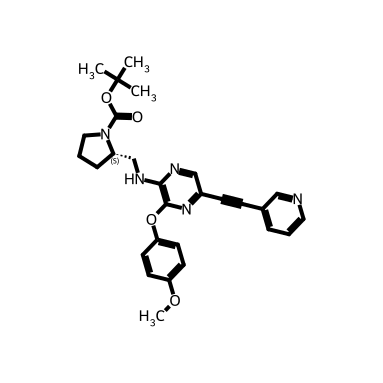 COc1ccc(Oc2nc(C#Cc3cccnc3)cnc2NC[C@@H]2CCCN2C(=O)OC(C)(C)C)cc1